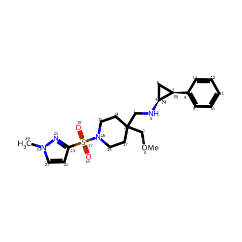 COCC1(CN[C@H]2C[C@H]2c2ccccc2)CCN(S(=O)(=O)c2ccn(C)n2)CC1